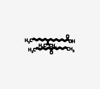 CCCCCCC(=O)CCCCCC.CCCCCCC(CCCCCCC(=O)O)C(C)C